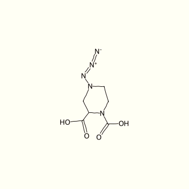 [N-]=[N+]=NN1CCN(C(=O)O)C(C(=O)O)C1